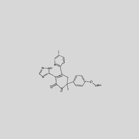 CCCCOc1ccc(C2(C)CC(c3ccc(C)cn3)=C(c3ncn[nH]3)C(=O)N2)cc1